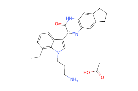 CC(=O)O.CCc1cccc2c(-c3nc4cc5c(cc4[nH]c3=O)CCC5)cn(CCCN)c12